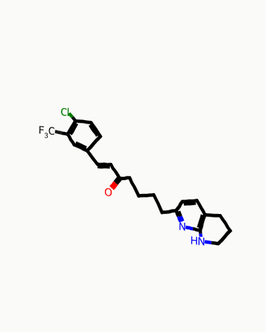 O=C(C=Cc1ccc(Cl)c(C(F)(F)F)c1)CCCCc1ccc2c(n1)NCCC2